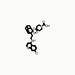 O=C(O)N1CCC2(CC1)OOC1(O2)C2CC3CC(C2)CC1(CCNc1ccnc2cc(Cl)ccc12)C3